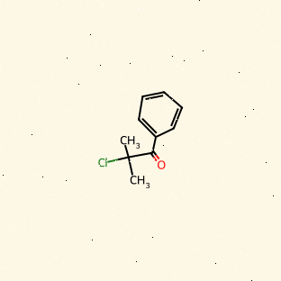 CC(C)(Cl)C(=O)c1ccccc1